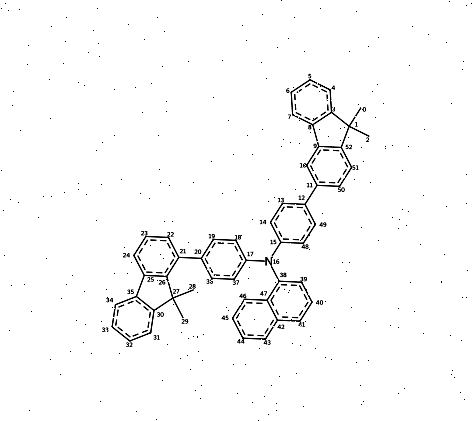 CC1(C)c2ccccc2-c2cc(-c3ccc(N(c4ccc(-c5cccc6c5C(C)(C)c5ccccc5-6)cc4)c4cccc5ccccc45)cc3)ccc21